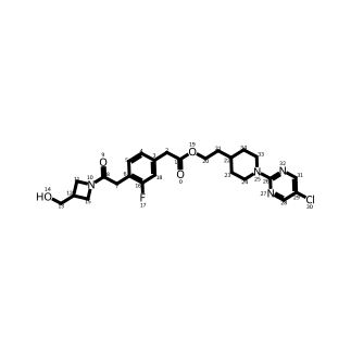 O=C(Cc1ccc(CC(=O)N2CC(CO)C2)c(F)c1)OCCC1CCN(c2ncc(Cl)cn2)CC1